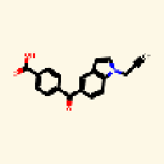 C#CCn1ccc2cc(C(=O)c3ccc(C(=O)O)cc3)ccc21